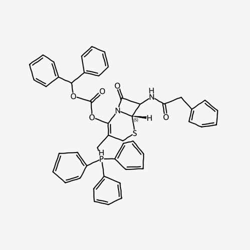 O=C(Cc1ccccc1)NC1C(=O)N2C(OC(=O)OC(c3ccccc3)c3ccccc3)=C(C[PH](c3ccccc3)(c3ccccc3)c3ccccc3)CS[C@@H]12